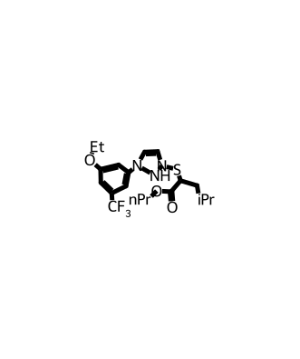 CCCOC(=O)C(CC(C)C)SN1C=CN(c2cc(OCC)cc(C(F)(F)F)c2)N1